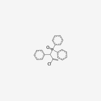 C=C(Cl)C(c1ccccc1)P(=O)(c1ccccc1)c1ccccc1